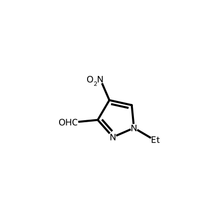 CCn1cc([N+](=O)[O-])c(C=O)n1